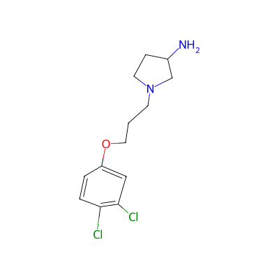 NC1CCN(CCCOc2ccc(Cl)c(Cl)c2)C1